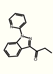 CCC(=O)c1nn(-c2ccccn2)c2ccccc12